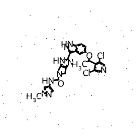 CC(Oc1ccc2[nH]nc(-c3nc4c([nH]3)CN(C(=O)Nc3cnn(C)c3)C4)c2c1)c1c(Cl)cncc1Cl